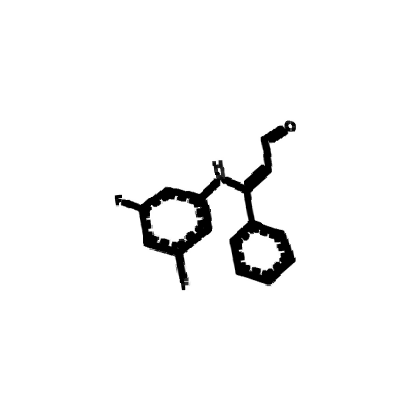 O=C/C=C(\Nc1cc(F)cc(F)c1)c1ccccc1